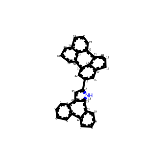 c1ccc2c(c1)c1ccccc1c1[nH]c(-c3cc4cccc5c6cccc7cccc(c(c3)c45)c76)cc21